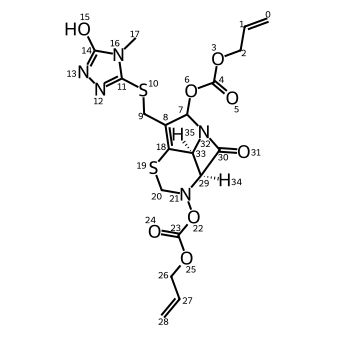 C=CCOC(=O)OC1C(CSc2nnc(O)n2C)=C2SCN(OC(=O)OCC=C)[C@@H]3C(=O)N1[C@H]23